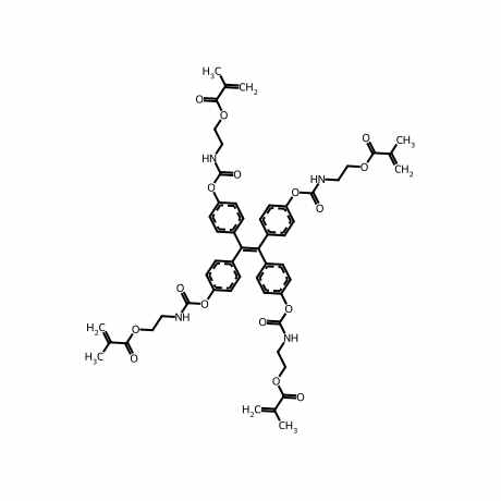 C=C(C)C(=O)OCCNC(=O)Oc1ccc(C(=C(c2ccc(OC(=O)NCCOC(=O)C(=C)C)cc2)c2ccc(OC(=O)NCCOC(=O)C(=C)C)cc2)c2ccc(OC(=O)NCCOC(=O)C(=C)C)cc2)cc1